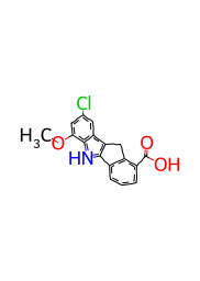 COc1cc(Cl)cc2c3c([nH]c12)-c1cccc(C(=O)O)c1C3